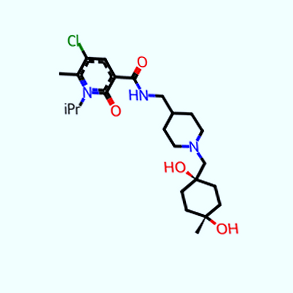 Cc1c(Cl)cc(C(=O)NCC2CCN(C[C@]3(O)CC[C@](C)(O)CC3)CC2)c(=O)n1C(C)C